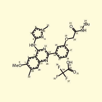 COc1cc2c(Nc3ccn(C)n3)nc(-c3cccc(OCC(=O)NC(C)(C)C)c3)nc2cc1C.O=C(O)C(F)(F)F